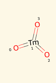 [O]=[Tm](=[O])=[O]